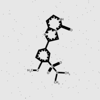 COc1ccc(-c2cn3c(=O)[nH]ccc3n2)cc1S(=O)(=O)N(C)C